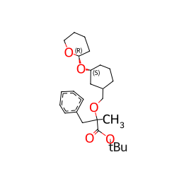 CC(C)(C)OC(=O)C(C)(Cc1ccccc1)OCC1CCC[C@H](O[C@@H]2CCCCO2)C1